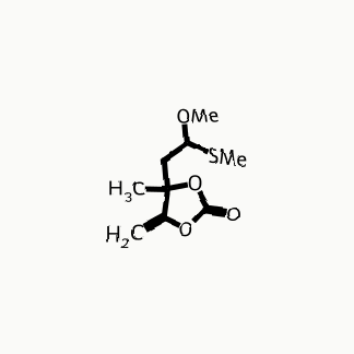 C=C1OC(=O)OC1(C)CC(OC)SC